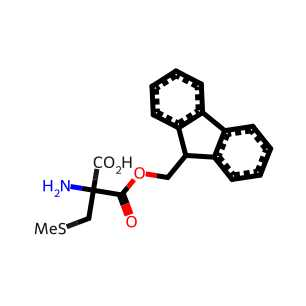 CSCC(N)(C(=O)O)C(=O)OCC1c2ccccc2-c2ccccc21